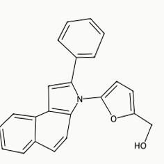 OCc1ccc(-n2c(-c3ccccc3)cc3c4ccccc4ccc32)o1